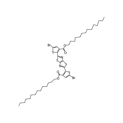 CCCCCCCCCCCCCCOC(=O)c1cc(Br)sc1-c1nc2sc(-c3sc(Br)cc3C(=O)OCCCCCCCCCCCCCC)nc2s1